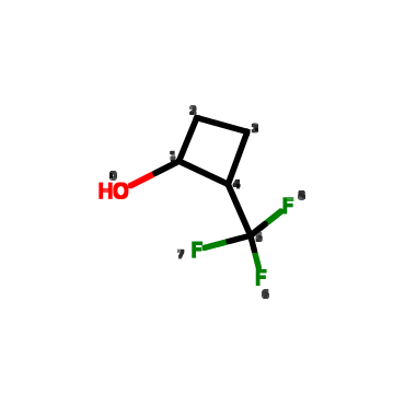 O[C]1CCC1C(F)(F)F